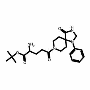 CC(C)(C)OC(=O)C(N)CCC(=O)N1CCC2(CC1)C(=O)NCN2c1ccccc1